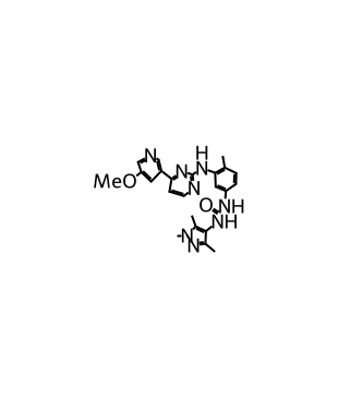 COc1cncc(-c2ccnc(Nc3cc(NC(=O)Nc4c(C)nn(C)c4C)ccc3C)n2)c1